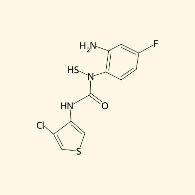 Nc1cc(F)ccc1N(S)C(=O)Nc1cscc1Cl